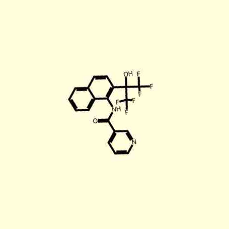 O=C(Nc1c(C(O)(C(F)(F)F)C(F)(F)F)ccc2ccccc12)c1cccnc1